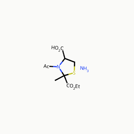 CCOC(=O)C1(C)SCC(C(=O)O)N1C(C)=O.N